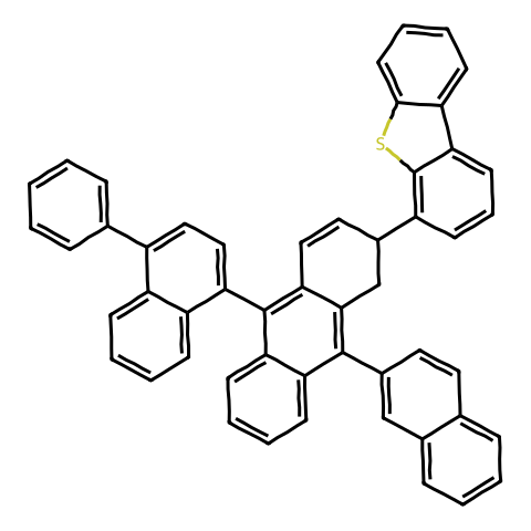 C1=CC(c2cccc3c2sc2ccccc23)Cc2c1c(-c1ccc(-c3ccccc3)c3ccccc13)c1ccccc1c2-c1ccc2ccccc2c1